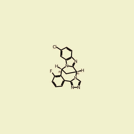 Fc1cccc2c1[C@H]1C[C@H](c3nc4ccc(Cl)cc4n31)n1cnnc1-2